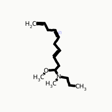 C=CC/C=C\CC=CCC(OC)N(C)CCC